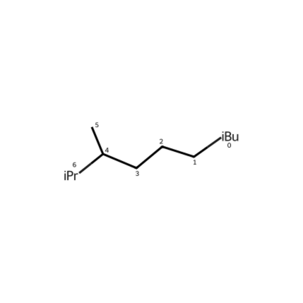 [CH2]C(CC)CCCC(C)C(C)C